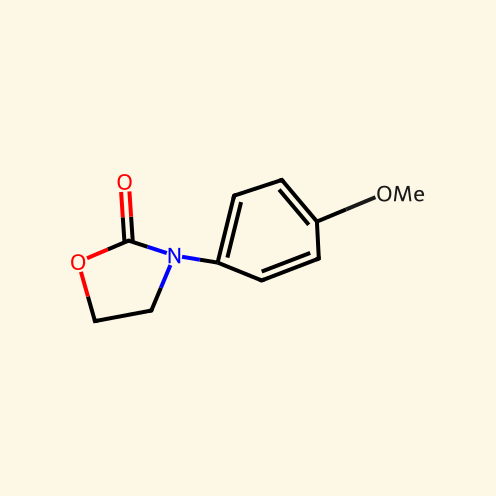 [CH2]Oc1ccc(N2CCOC2=O)cc1